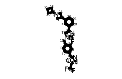 Fc1cc(-c2nnc(C(F)F)o2)ccc1Cn1cc(-c2cccc(C3CN(C4CCC4)C3)c2)nn1